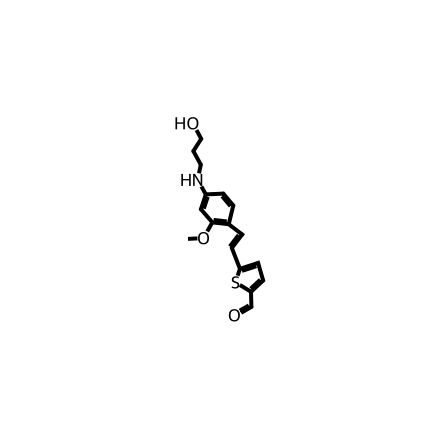 COc1cc(NCCCO)ccc1C=Cc1ccc(C=O)s1